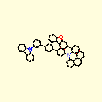 c1cc(-c2ccc(-c3ccc(N(c4ccccc4-c4ccc5c(c4)oc4ccccc45)c4cccc5ccc6ccccc6c45)cc3)cc2)cc(-n2c3ccccc3c3ccccc32)c1